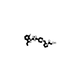 CCc1nn(-c2noc(C3CCN(CC4CCCN4C(=O)CO)CC3)n2)c2c(F)cccc12